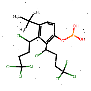 CC(C)(C)c1ccc(OP(O)O)c(C(Cl)CCC(Cl)(Cl)Cl)c1C(Cl)CCC(Cl)(Cl)Cl